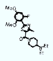 CCN(CC)C1CCN(C(=O)c2sc(-c3c(F)cc(OC)cc3OC)nc2C)CC1